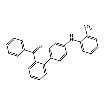 O=C(c1ccccc1)c1ccccc1-c1ccc(Nc2ccccc2[N+](=O)[O-])cc1